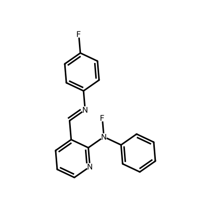 Fc1ccc(N=Cc2cccnc2N(F)c2ccccc2)cc1